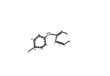 C/C=C\C(=C/C)Oc1ccc(C)cc1